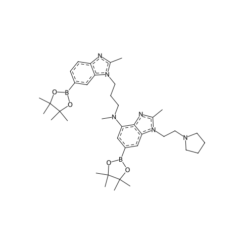 Cc1nc2ccc(B3OC(C)(C)C(C)(C)O3)cc2n1CCCN(C)c1cc(B2OC(C)(C)C(C)(C)O2)cc2c1nc(C)n2CCN1CCCC1